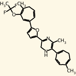 CC1=CCC=C(C2=C(C)N=C(c3ccc(C4=CC(OC(C)(F)F)=C(C)CC=C4)o3)CN2)C=C1